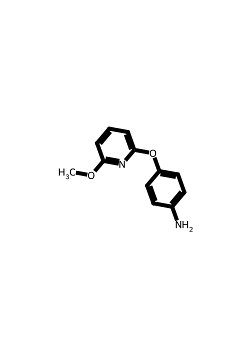 COc1cccc(Oc2ccc(N)cc2)n1